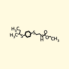 CCOC(=O)NCCSc1ccc(SC(C)CC)cc1